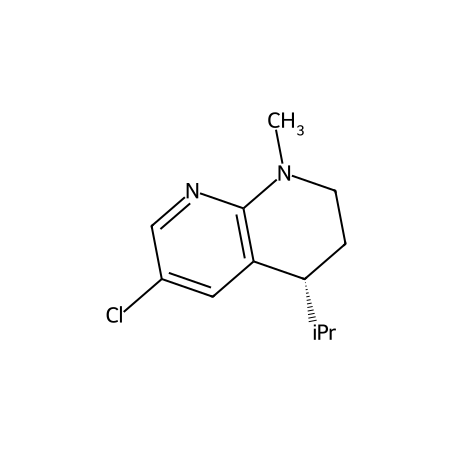 CC(C)[C@H]1CCN(C)c2ncc(Cl)cc21